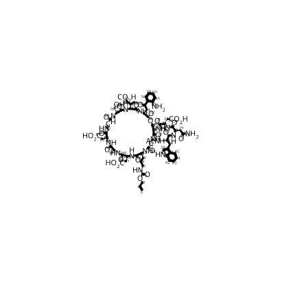 C=CCOC(=O)NCCC[C@@H]1NC(=O)CNC(=O)[C@@H](NC(=O)[C@H](CC(=O)O)NC(=O)[C@@H](CC(N)=O)NC(=O)[C@H](Cc2c[nH]c3ccccc23)NC(C)=O)[C@@H](C)OC(=O)[C@H](CC(=O)c2ccccc2N)NC(=O)[C@H](C(C)CC(=O)O)NC(=O)[C@@H](CO)NC(=O)CNC(=O)[C@H](CC(=O)O)NC(=O)[C@@H](C)NC(=O)[C@H](CC(=O)O)NC1=O